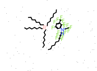 CCCCCCC(F)(F)C(F)(F)C(F)(F)[NH+](c1cc(F)c(F)c(C(F)(F)F)c1F)C(F)(F)C(F)(F)F.CCCCCCCC[B-](CCCCCCCC)(CCCCCCCC)CCCCCCCC